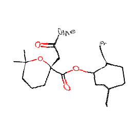 COC(=O)C[C@@]1(C(=O)OC2CC(C)CC[C@@H]2C(C)C)CCCC(C)(C)O1